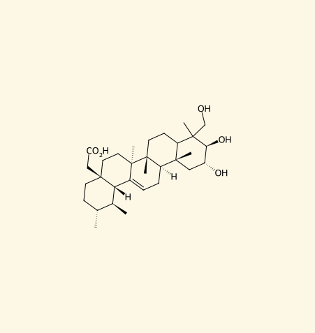 C[C@H]1[C@H](C)CC[C@]2(CC(=O)O)CC[C@]3(C)C(=CC[C@@H]4[C@@]5(C)C[C@@H](O)[C@H](O)C(C)(CO)C5CC[C@]43C)[C@H]12